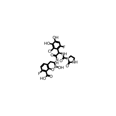 O=C(O)c1c(F)ccc2c1OB(O)[C@@H](NC(=O)C(NC(=O)N1CCNC1=O)c1c(F)cc(O)c(O)c1Cl)C2